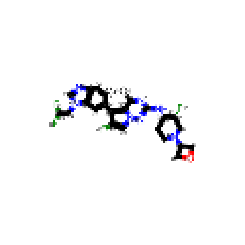 COc1nc(N[C@H]2CCN(C3COC3)C[C@H]2F)nn2cc(F)c(-c3ccc4ncn(CC(F)F)c4c3)c12